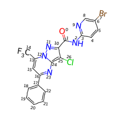 O=C(Nc1ccc(Br)cn1)c1nn2c(C(F)(F)F)cc(-c3ccccc3)nc2c1Cl